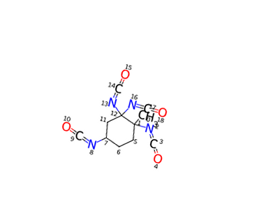 CC1(N=C=O)CCC(N=C=O)CC1(N=C=O)N=C=O